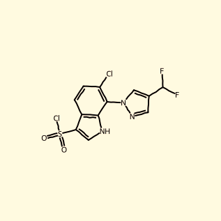 O=S(=O)(Cl)c1c[nH]c2c(-n3cc(C(F)F)cn3)c(Cl)ccc12